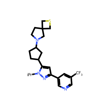 CC(C)n1nc(-c2cncc(C(F)(F)F)c2)cc1C1CCC(N2CCC3(CSC3)C2)C1